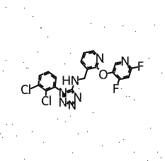 Fc1cc(F)c(Oc2ncccc2CNc2nnnn2-c2cccc(Cl)c2Cl)cn1